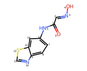 O=C(C=NO)Nc1ccc2ncsc2c1